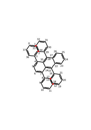 c1ccc(-c2ccc(-c3ccccc3)c3c(-c4ccccc4)c4ccccc4c(-c4ccccc4)c23)cc1